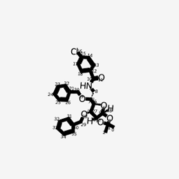 CC1(C)O[C@H]2O[C@H]([C@@H](CNC(=O)c3ccc(Cl)cc3)OCc3ccccc3)[C@H](OCc3ccccc3)[C@H]2O1